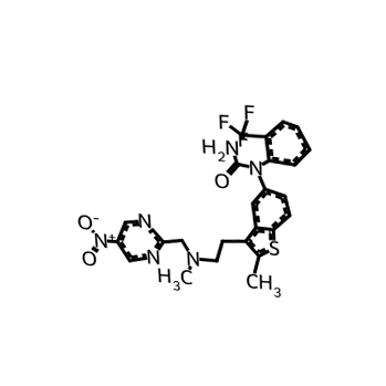 Cc1sc2ccc(N(C(N)=O)c3ccccc3C(F)(F)F)cc2c1CCN(C)Cc1ncc([N+](=O)[O-])cn1